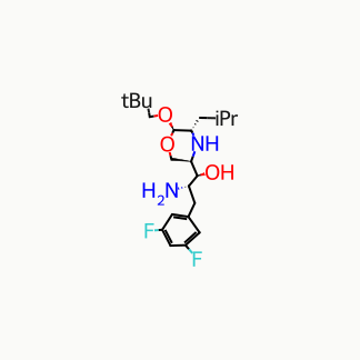 CC(C)C[C@@H]1N[C@@H]([C@@H](O)[C@@H](N)Cc2cc(F)cc(F)c2)CO[C@H]1OCC(C)(C)C